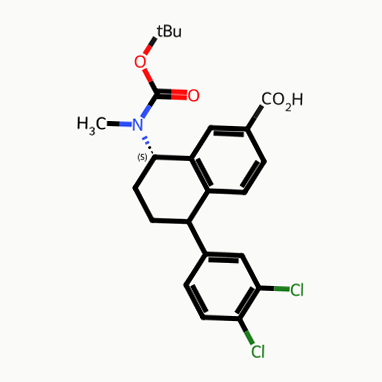 CN(C(=O)OC(C)(C)C)[C@H]1CCC(c2ccc(Cl)c(Cl)c2)c2ccc(C(=O)O)cc21